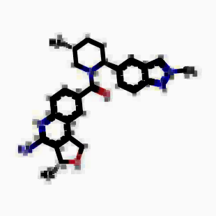 C[C@@H]1CC[C@@H](c2ccc3nn(C)cc3c2)N(C(=O)c2ccc3nc(N)c4c(c3c2)CO[C@@H]4C)C1